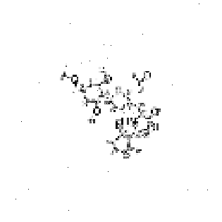 CC(C)=O.CCOCc1cc(OC)c(-c2ccc(C[C@H](NC(=O)c3c(F)cccc3F)C(=O)O)cc2)c(OC)c1